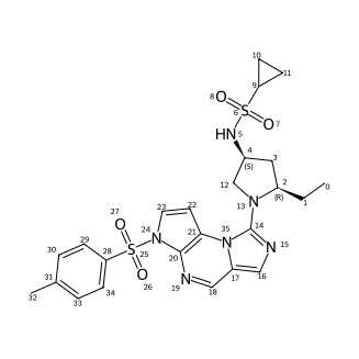 CC[C@@H]1C[C@H](NS(=O)(=O)C2CC2)CN1c1ncc2cnc3c(ccn3S(=O)(=O)c3ccc(C)cc3)n12